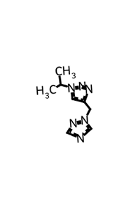 CC(C)n1cc(Cn2cncn2)nn1